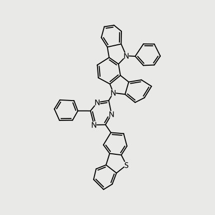 c1ccc(-c2nc(-c3ccc4sc5ccccc5c4c3)nc(-n3c4ccccc4c4c3ccc3c5ccccc5n(-c5ccccc5)c34)n2)cc1